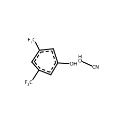 N#CO.Oc1cc(C(F)(F)F)cc(C(F)(F)F)c1